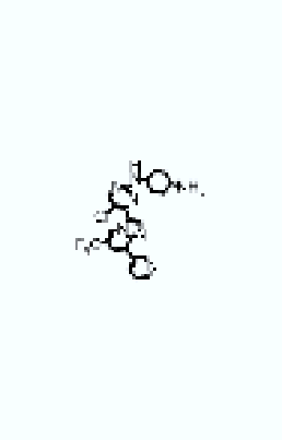 NC1CCC(Nc2ncc(Cl)c(-c3cnc4c(-c5cccnc5)cc(C(F)(F)F)cn34)n2)CC1